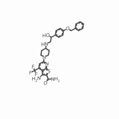 NC(=O)c1sc2nc(N3CCC(NCC(O)c4ccc(OCc5ccccc5)cc4)CC3)cc(C(F)(F)F)c2c1N